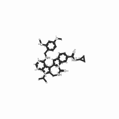 COc1ccc(CNc2ncnc3c2c2c(n3C(C)C)CNC(=O)n3c-2cc2ccc(C(=O)NC4CC4)cc23)c(OC)c1